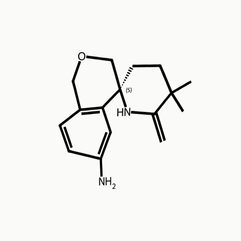 C=C1N[C@]2(CCC1(C)C)COCc1ccc(N)cc12